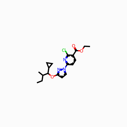 CCOC(=O)c1ccc(-n2ccc(OC(C(C)CC)C3CC3)n2)nc1Cl